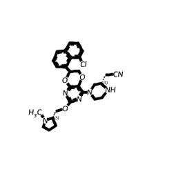 CN1CCC[C@H]1COc1nc2c(c(N3CCN[C@@H](CC#N)C3)n1)OCC(c1cccc3cccc(Cl)c13)O2